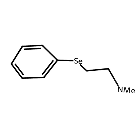 CNCC[Se]c1ccccc1